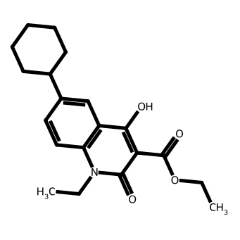 CCOC(=O)c1c(O)c2cc(C3CCCCC3)ccc2n(CC)c1=O